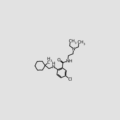 CCN(CC)CCNC(=O)c1cc(Cl)ccc1NCC1(C)CCCCC1